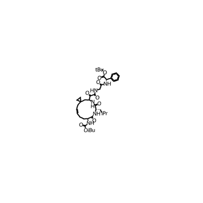 CC(C)COC(=O)N[C@H]1CC/C=C\CC2(CC2)CC(C(=O)C(=O)NCC(=O)N[C@H](C(=O)OC(C)(C)C)c2ccccc2)NC(=O)[C@H](CC(C)C)NC1=O